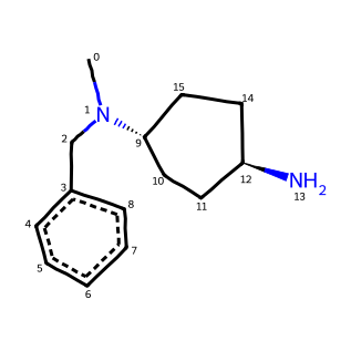 CN(Cc1ccccc1)[C@H]1CC[C@H](N)CC1